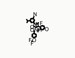 COc1cc(F)c(-c2c(NC(=O)c3ccc(OC(F)F)cc3)c(=O)n(-c3cc(C#N)cc(C(C)C)c3)n2C)c(F)c1